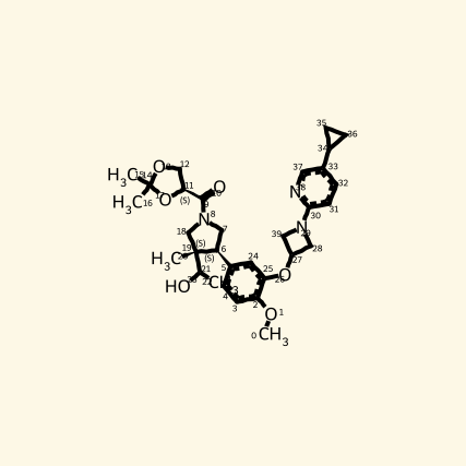 COc1ccc([C@@H]2CN(C(=O)[C@@H]3COC(C)(C)O3)C[C@@]2(C)C(C)O)cc1OC1CN(c2ccc(C3CC3)cn2)C1